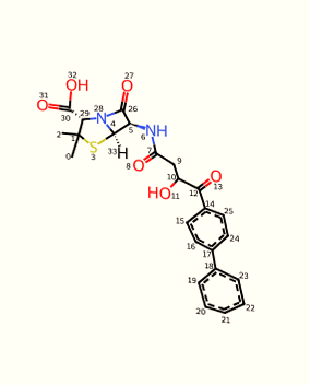 CC1(C)S[C@@H]2[C@H](NC(=O)CC(O)C(=O)c3ccc(-c4ccccc4)cc3)C(=O)N2[C@H]1C(=O)O